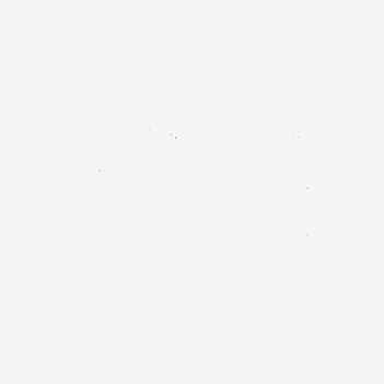 CCOC(=O)c1sc(-c2ccc(OCC)c(C#N)c2)nc1C